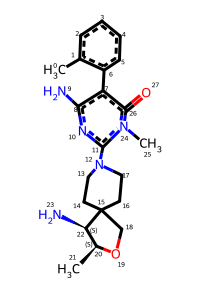 Cc1ccccc1-c1c(N)nc(N2CCC3(CC2)CO[C@@H](C)[C@H]3N)n(C)c1=O